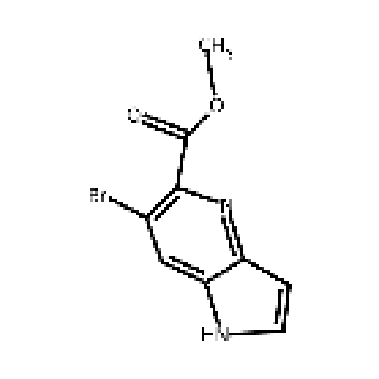 COC(=O)c1nc2cc[nH]c2cc1Br